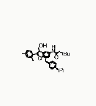 Cc1ccc(C2Oc3c(Cc4ccc(C(C)C)cc4)cc(NC(=O)CC(C)(C)C)cc3C2CO)c(C)c1